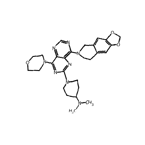 CN(C)C1CCN(c2nc(N3CCOCC3)c3ncnc(N4CCc5cc6c(cc5C4)OCO6)c3n2)CC1